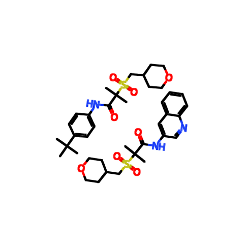 CC(C)(C(=O)Nc1cnc2ccccc2c1)S(=O)(=O)CC1CCOCC1.CC(C)(C)c1ccc(NC(=O)C(C)(C)S(=O)(=O)CC2CCOCC2)cc1